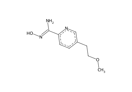 COCCc1ccc(C(N)=NO)nc1